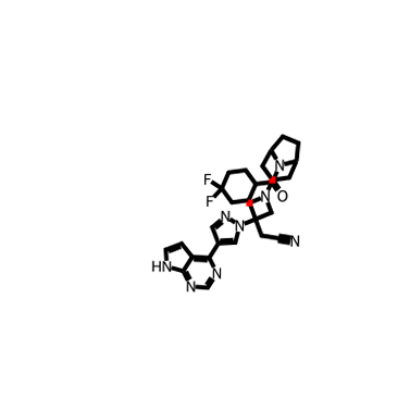 N#CCC1(n2cc(-c3ncnc4[nH]ccc34)cn2)CN(C2CC3CCC(C2)N3C(=O)C2CCC(F)(F)CC2)C1